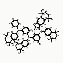 Cc1cc2c3c(c1)N(c1ccc4c(c1)C(C)(C)CCC4(C)C)c1c(oc4cc5c(cc14)C(C)(C)CCC5(C)C)B3c1ccc(N(c3ccccc3)c3ccc4c(c3)C(C)(C)CCC4(C)C)cc1N2c1ccc2c(c1)C(C)(C)CCC2(C)C